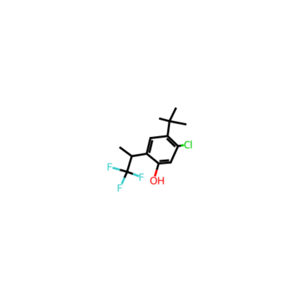 CC(c1cc(C(C)(C)C)c(Cl)cc1O)C(F)(F)F